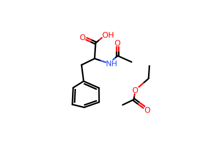 CC(=O)NC(Cc1ccccc1)C(=O)O.CCOC(C)=O